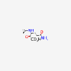 NC(=O)CCC(NC1CC1)C(=O)C(=O)O